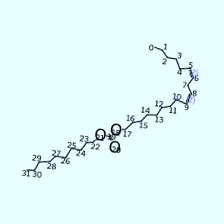 CCCCC/C=C\C/C=C\CCCCCCCCOC(=O)OCCCCCCCCCC